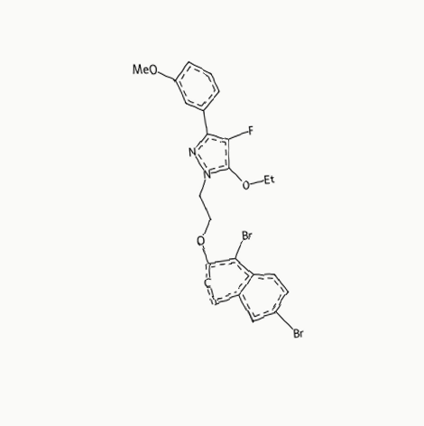 CCOc1c(F)c(-c2cccc(OC)c2)nn1CCOc1ccc2cc(Br)ccc2c1Br